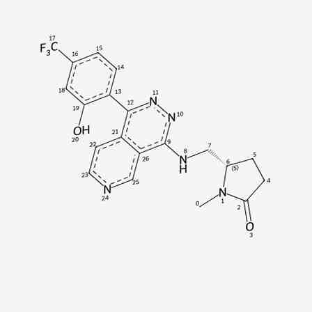 CN1C(=O)CC[C@H]1CNc1nnc(-c2ccc(C(F)(F)F)cc2O)c2ccncc12